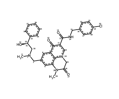 CN(Cc1cc2c3c(c1)c(=O)c(C(=O)NCc1ccc(Cl)cc1)cn3CC(=O)N2C)C[C@@H](O)c1ccccc1